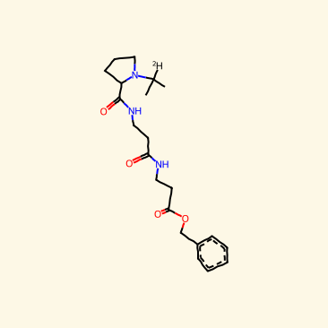 [2H]C(C)(C)N1CCCC1C(=O)NCCC(=O)NCCC(=O)OCc1ccccc1